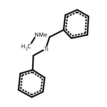 CNC.c1ccc([CH2][Ti][CH2]c2ccccc2)cc1